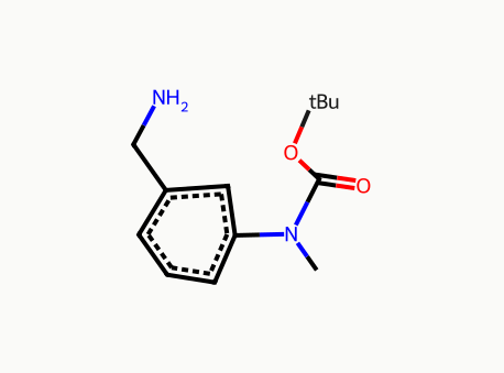 CN(C(=O)OC(C)(C)C)c1cccc(CN)c1